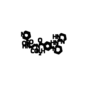 O=C(NC[C@H](NS(=O)(=O)c1cccnc1)C(=O)O)c1ccc(N2CCCCC2NC2=NCCCN2)cc1